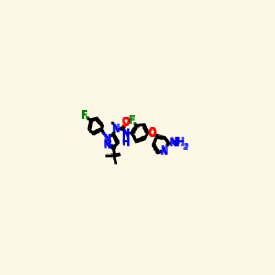 CN(C(=O)Nc1ccc(Oc2ccnc(N)c2)cc1F)c1cc(C(C)(C)C)nn1-c1ccc(F)cc1